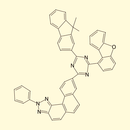 CC1(C)c2ccccc2-c2ccc(-c3nc(-c4ccc5c(ccc6ccc7nn(-c8ccccc8)nc7c65)c4)nc(-c4cccc5oc6ccccc6c45)n3)cc21